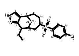 CCC1c2n[nH]cc2C2CCC(S(=O)(=O)c3ccc(Cl)cc3)CC1N2